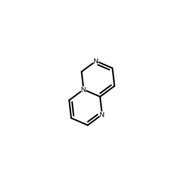 C1=CN2CN=CC=C2N=C1